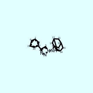 c1ccc(-c2cn(NC34CC5CC(CC(C5)C3)C4)nn2)cc1